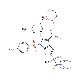 Cc1ccc(S(=O)(=O)n2c(-c3cc(C)cc(C)c3)c(C(C)COC3CCCCO3)c3cc(C(C)(C)C(=O)N4C5CCC4CC5)sc32)cc1